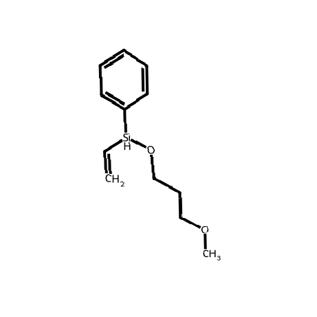 C=C[SiH](OCCCOC)c1ccccc1